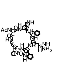 CC(=O)N[C@H]1CC(=O)NCCCC[C@@H](C(=O)N2CCC[C@H]2C)NC(=O)[C@H](Cc2c[nH]c3ccccc23)NC(=O)[C@H](CCCNC(=N)N)NC(=O)[C@@H](Cc2ccccc2)NC(=O)[C@H](Cc2c[nH]cn2)NC1=O